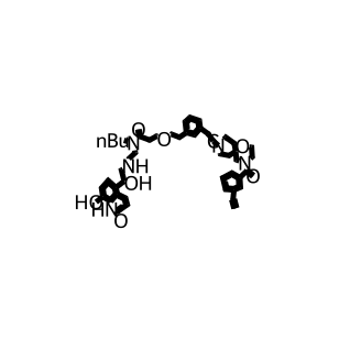 C#Cc1cccc(C(=O)N2CCOC3(CCN(CCc4cccc(CCOCCC(=O)N(CCCC)CCNCC(O)c5ccc(O)c6[nH]c(=O)ccc56)c4)CC3)C2)c1